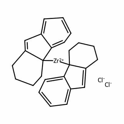 C1=C2CCCC[C]2([Zr+2][C]23CCCCC2=Cc2ccccc23)c2ccccc21.[Cl-].[Cl-]